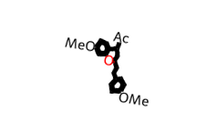 COc1ccc(CCC(=O)CC(CC(C)=O)c2ccc(OC)cc2)cc1